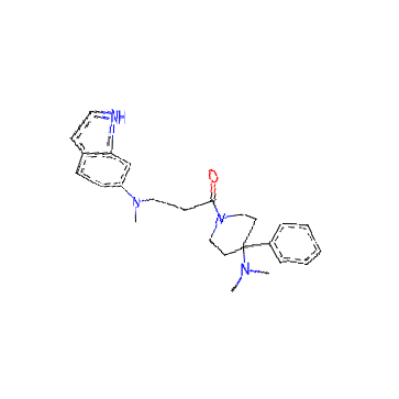 CN(CCC(=O)N1CCC(c2ccccc2)(N(C)C)CC1)c1ccc2cc[nH]c2c1